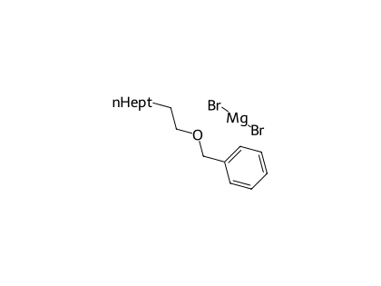 [Br][Mg][Br].[CH2]CCCCCCCCOCc1ccccc1